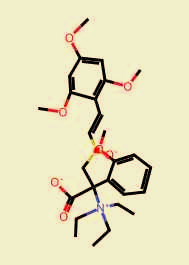 CC[N+](CC)(CC)C(C[S+]([O-])C=Cc1c(OC)cc(OC)cc1OC)(C(=O)[O-])c1ccccc1OC